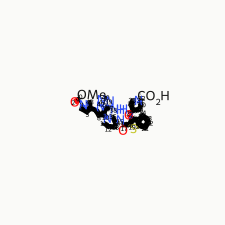 COC(=O)N1CC=C(c2cc(N3CCCC(NC(=O)c4sc5ccccc5c4OC4CCN(C(=O)O)CC4)C3)c3c(N)ncnn23)C1